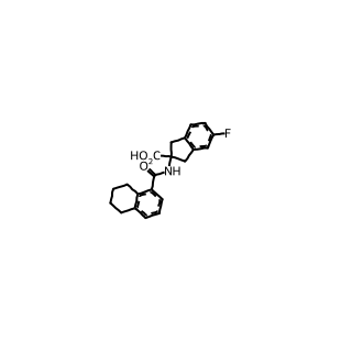 O=C(NC1(C(=O)O)Cc2ccc(F)cc2C1)c1cccc2c1CCCC2